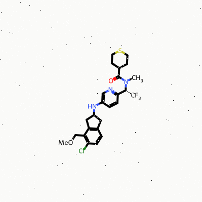 COCc1c(Cl)ccc2c1CC(Nc1ccc([C@H](N(C)C(=O)C3CCSCC3)C(F)(F)F)nc1)C2